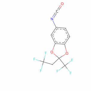 O=C=Nc1ccc2c(c1)OC(CC(F)(F)F)(C(F)(F)F)O2